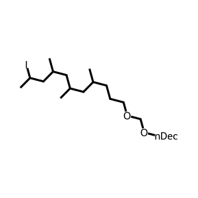 CCCCCCCCCCOCOCCCC(C)CC(C)CC(C)CC(C)I